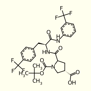 CC(C)(C)OC(=O)N1C[C@@H](C(=O)O)CC1C(=O)N[C@@H](Cc1ccc(C(F)(F)F)cc1)C(=O)Nc1cccc(C(F)(F)F)c1